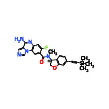 CN(C(=O)c1cc2c(cc1F)nc(N)c1cncn12)[C@@H]1COc2cc(C#C[Si](C)(C)C)ccc21